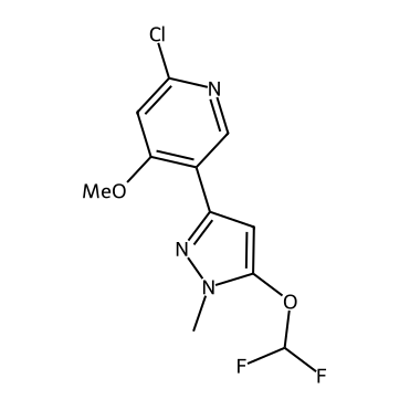 COc1cc(Cl)ncc1-c1cc(OC(F)F)n(C)n1